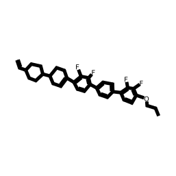 C=CC1CCC(C2CC=C(c3ccc(-c4ccc(-c5ccc(OCCC)c(F)c5F)cc4)c(F)c3F)CC2)CC1